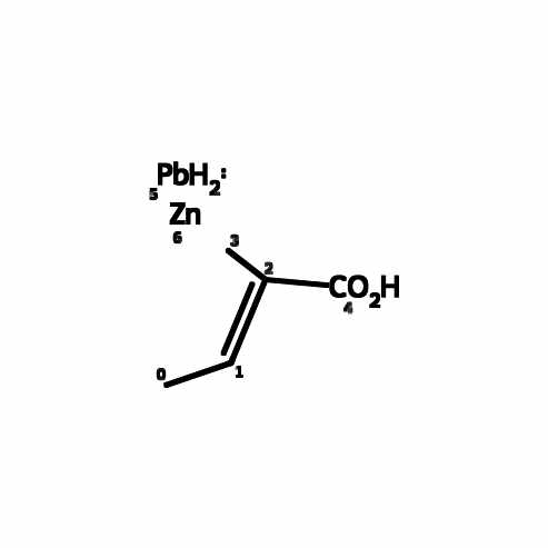 CC=C(C)C(=O)O.[PbH2].[Zn]